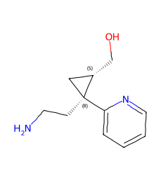 NCC[C@]1(c2ccccn2)C[C@@H]1CO